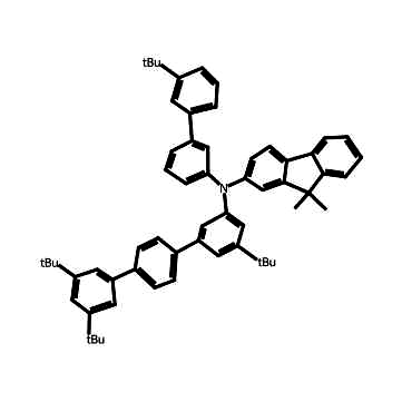 CC(C)(C)c1cccc(-c2cccc(N(c3cc(-c4ccc(-c5cc(C(C)(C)C)cc(C(C)(C)C)c5)cc4)cc(C(C)(C)C)c3)c3ccc4c(c3)C(C)(C)c3ccccc3-4)c2)c1